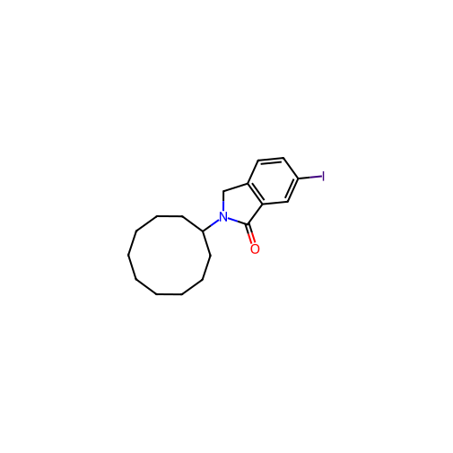 O=C1c2cc(I)ccc2CN1C1CCCCCCCCC1